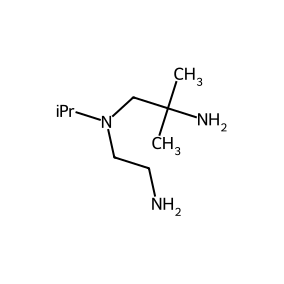 CC(C)N(CCN)CC(C)(C)N